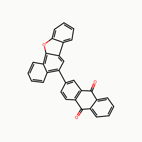 O=C1c2ccccc2C(=O)c2cc(-c3cc4c5ccccc5oc4c4ccccc34)ccc21